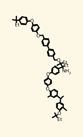 CCC(C)(C)Oc1ccc(C(C)c2ccc(Oc3ccc(Oc4ccc(C(N)(CC)C(C)(CC)OCc5ccc(-c6ccc(COc7ccc(Oc8ccc(C(C)(C)CC)cc8)cc7)cc6)cc5)cc4)cc3)c(C)c2)cc1C